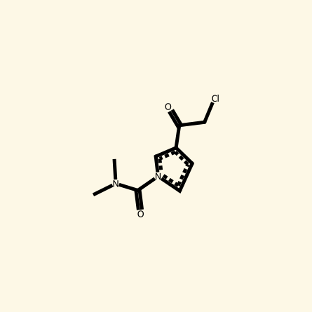 CN(C)C(=O)n1ccc(C(=O)CCl)c1